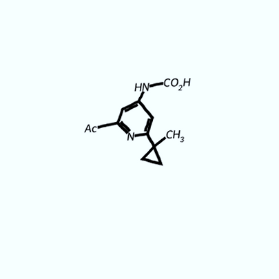 CC(=O)c1cc(NC(=O)O)cc(C2(C)CC2)n1